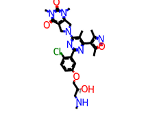 CNC[C@@H](O)COc1ccc(Cl)c(-c2nc(-c3c(C)noc3C)c(C)c(N3Cc4c(n(C)c(=O)n(C)c4=O)C3)n2)c1